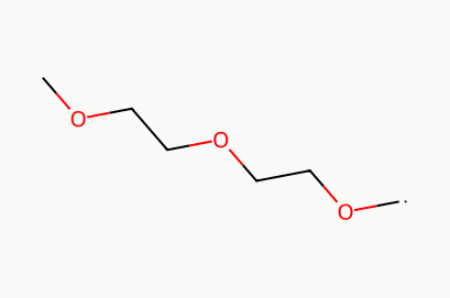 [CH2]OCCOCCOC